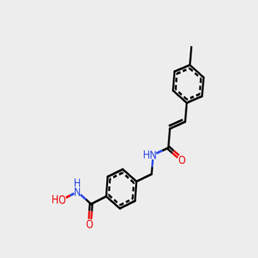 Cc1ccc(/C=C/C(=O)NCc2ccc(C(=O)NO)cc2)cc1